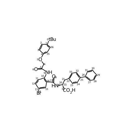 CC(C)(C)c1ccc(OCC(=O)Nc2ccc(Br)cc2C(=O)N[C@@H](Cc2ccc(-c3ccccc3)cc2)C(=O)O)cc1